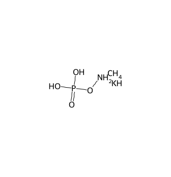 C.NOP(=O)(O)O.[KH]